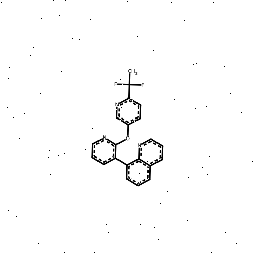 CC(F)(F)c1ccc(Oc2ncccc2-c2cccc3cccnc23)cn1